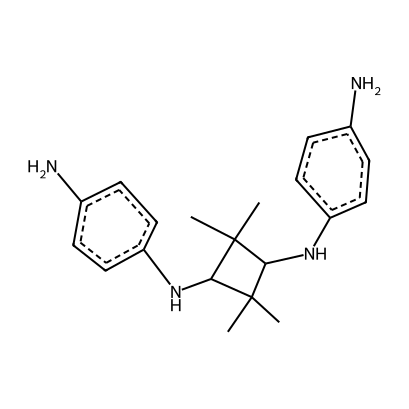 CC1(C)C(Nc2ccc(N)cc2)C(C)(C)C1Nc1ccc(N)cc1